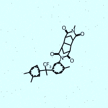 Cc1ccc(C(C)(c2ccc(C)c(N3C(=O)C4CC(C3=O)C3C5CC(C(=O)N(C)C5=O)C43)c2)C(F)(F)F)cc1C